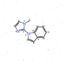 Cn1ccnc1-n1ccc2c[c]ccc21